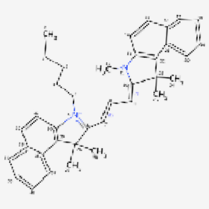 CCCCC[N+]1=C(/C=C/C=C2\N(C)c3ccc4ccccc4c3C2(C)C)C(C)(C)c2c1ccc1ccccc21